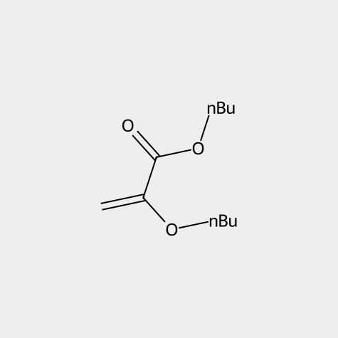 C=C(OCCCC)C(=O)OCCCC